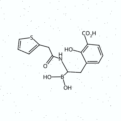 O=C(Cc1cccs1)NC(Cc1cccc(C(=O)O)c1O)B(O)O